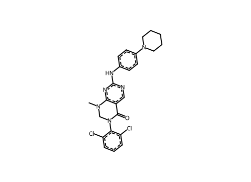 CN1CN(c2c(Cl)cccc2Cl)C(=O)c2cnc(Nc3ccc(N4CCCCC4)cc3)nc21